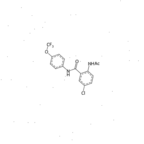 CC(=O)Nc1ccc(Cl)cc1C(=O)Nc1ccc(OC(F)(F)F)cc1